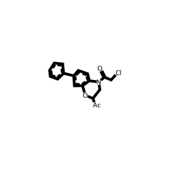 CC(=O)C1CN(C(=O)CCl)c2ccc(-c3ccccc3)cc2O1